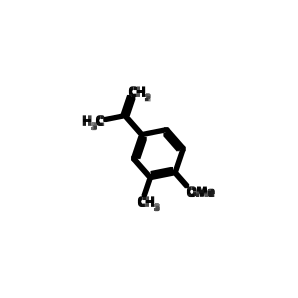 C=C(C)c1ccc(OC)c(C)c1